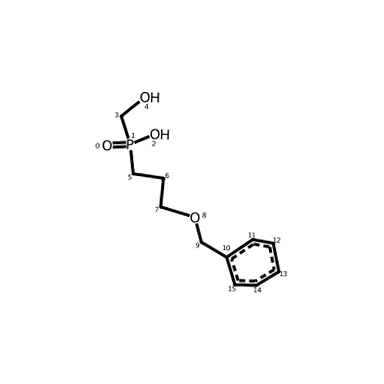 O=P(O)(CO)CCCOCc1ccccc1